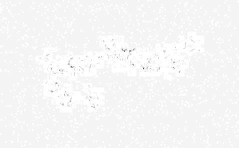 CC[C@H](C)[C@@H]([C@@H](CC(=O)N1CCC[C@H]1[C@H](OC)[C@@H](C)C(=O)N[C@H](C)[C@@H](O)c1ccccc1)OC)N(C)C(=O)[C@@H](NC(=O)[C@H](C(C)C)N(C)C(=O)OCc1ccc(NC(=O)[C@H](CC[S+](C)[O-])NC(=O)[C@H](C)NC(=O)[C@@H](CC(C)C)NC(=O)CCN2C(=O)C=CC2=O)cc1)C(C)C